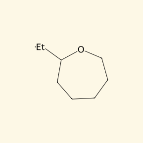 C[CH]C1CCCCCO1